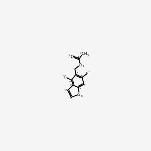 CC(=O)OCc1c(F)cc2sccc2c1F